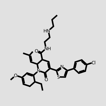 CCCNCCNC(=O)C1C=C(c2nc(-c3ccc(Cl)cc3)cs2)C(=O)N(C2=CC(OC)=CCC2CC)C1C=C(C)C